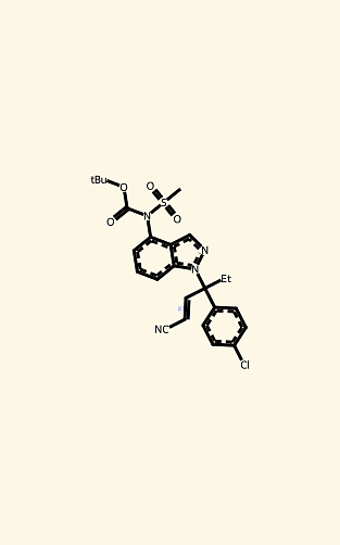 CCC(/C=C/C#N)(c1ccc(Cl)cc1)n1ncc2c(N(C(=O)OC(C)(C)C)S(C)(=O)=O)cccc21